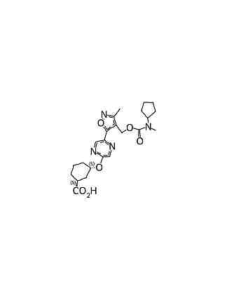 Cc1noc(-c2cnc(O[C@H]3CCC[C@H](C(=O)O)C3)cn2)c1COC(=O)N(C)C1CCCC1